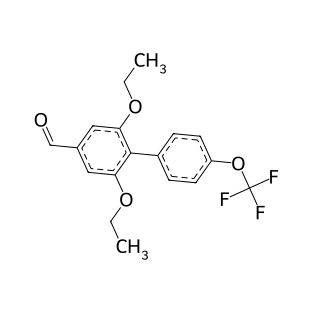 CCOc1cc(C=O)cc(OCC)c1-c1ccc(OC(F)(F)F)cc1